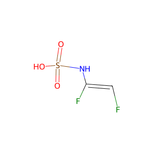 O=S(=O)(O)N/C(F)=C/F